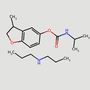 CC(C)NC(=O)Oc1ccc2c(c1)C(C)CO2.CCCNCCC